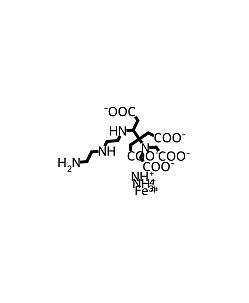 NCCNCCNC(CC(=O)[O-])C(CC(=O)[O-])(CC(=O)[O-])N(CC(=O)[O-])CC(=O)[O-].[Fe+3].[NH4+].[NH4+]